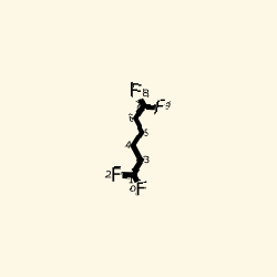 F[C](F)CCCC[C](F)F